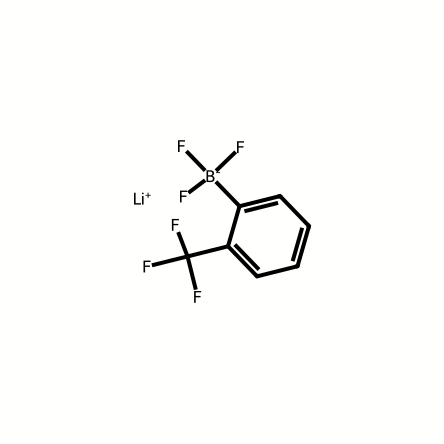 F[B-](F)(F)c1ccccc1C(F)(F)F.[Li+]